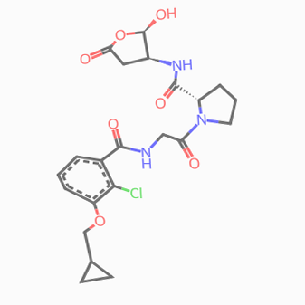 O=C1C[C@H](NC(=O)[C@@H]2CCCN2C(=O)CNC(=O)c2cccc(OCC3CC3)c2Cl)[C@H](O)O1